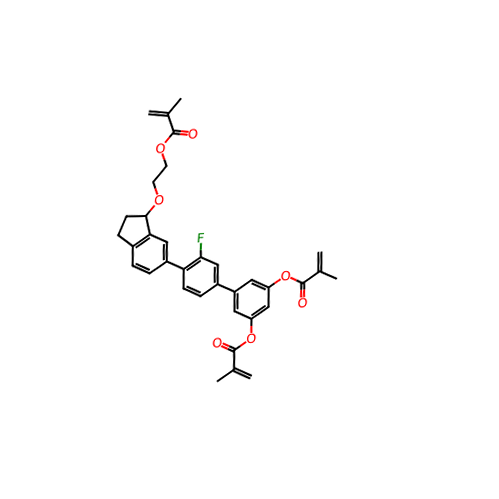 C=C(C)C(=O)OCCOC1CCc2ccc(-c3ccc(-c4cc(OC(=O)C(=C)C)cc(OC(=O)C(=C)C)c4)cc3F)cc21